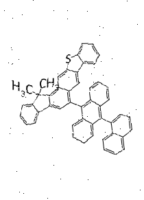 CC1(C)c2ccccc2-c2cc(-c3c4c(c(-c5cccc6ccccc56)c5ccccc35)=CCCC=4)c3cc4c(cc3c21)sc1ccccc14